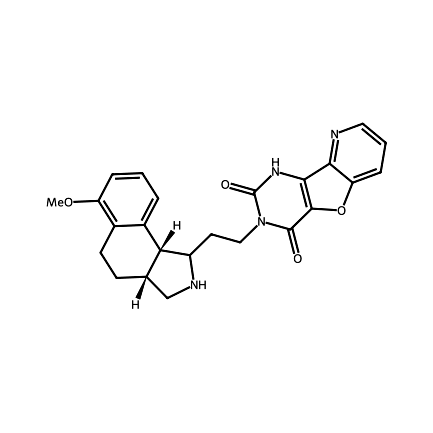 COc1cccc2c1CC[C@H]1CNC(CCn3c(=O)[nH]c4c(oc5cccnc54)c3=O)[C@@H]21